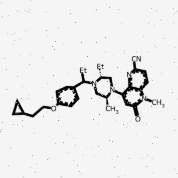 CCC(c1ccc(OCCC2CC2)cc1)N1C[C@H](C)N(c2cc(=O)n(C)c3ccc(C#N)nc23)C[C@H]1CC